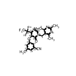 COc1nc(C)nc(C)c1Cn1cnc(C(F)(F)C(F)(F)F)c(Oc2cc(C)cc(C#N)c2)c1=O